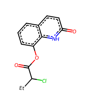 CCC(Cl)C(=O)Oc1cccc2ccc(=O)[nH]c12